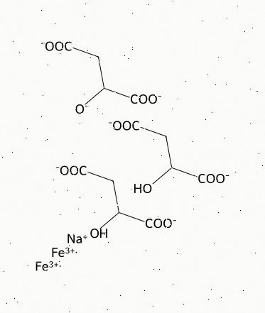 O=C([O-])CC(O)C(=O)[O-].O=C([O-])CC(O)C(=O)[O-].O=C([O-])CC([O-])C(=O)[O-].[Fe+3].[Fe+3].[Na+]